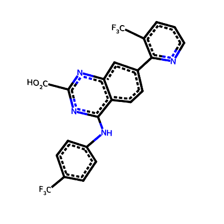 O=C(O)c1nc(Nc2ccc(C(F)(F)F)cc2)c2ccc(-c3ncccc3C(F)(F)F)cc2n1